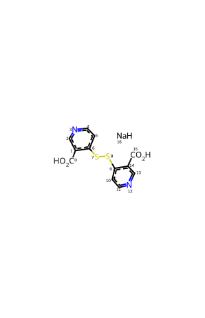 O=C(O)c1cnccc1SSc1ccncc1C(=O)O.[NaH]